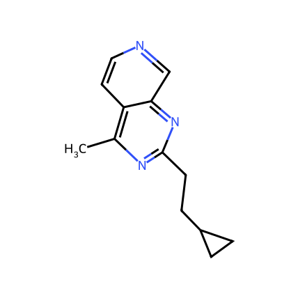 Cc1nc(CCC2CC2)nc2cnccc12